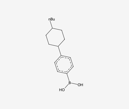 CCCCC1CCC(c2ccc(B(O)O)cc2)CC1